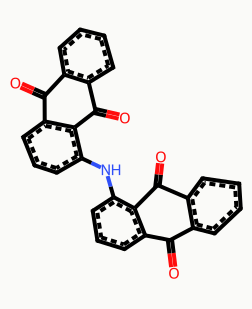 O=C1c2ccccc2C(=O)c2c(Nc3cccc4c3C(=O)c3ccccc3C4=O)cccc21